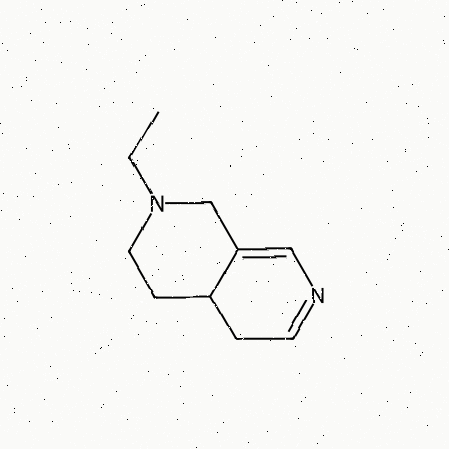 CCN1CCC2CC=NC=C2C1